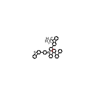 CC1(C)c2ccccc2-c2ccc(-c3ccc(N(c4ccc(-c5ccc6sc7ccccc7c6c5)cc4)c4ccccc4-c4ccccc4-c4ccccc4-c4ccccc4)cc3)cc21